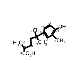 Cc1cc(C(C)(C)CCC(C)C(=O)O)ccc1O